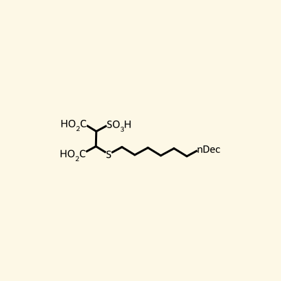 CCCCCCCCCCCCCCCCSC(C(=O)O)C(C(=O)O)S(=O)(=O)O